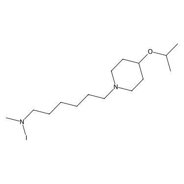 CC(C)OC1CCN(CCCCCCN(C)I)CC1